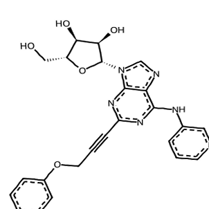 OC[C@H]1O[C@@H](n2cnc3c(Nc4cccnc4)nc(C#CCOc4ccccc4)nc32)[C@H](O)[C@@H]1O